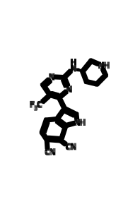 N#Cc1ccc2c(-c3nc(N[C@H]4CCCNC4)ncc3C(F)(F)F)c[nH]c2c1C#N